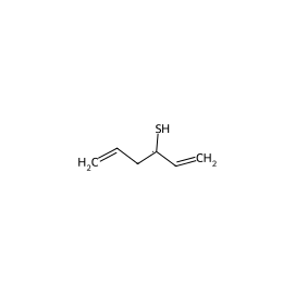 C=CC[C](S)C=C